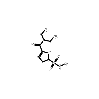 CCN(CC)C(=O)C1=CCC(S(=O)(=O)NO)S1